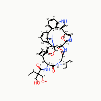 CCC(CO)(CO)C(=O)N[C@H]1Cc2ccc3c(c2)[C@]24c5cccc(c5NC2O3)-c2cccc3[nH]cc(c23)-c2cnc(o2)-c2nc(oc24)[C@H](C(C)C)NC1=O